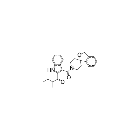 CCC(C)C(=O)c1[nH]c2ccccc2c1C(=O)N1CCC2(CC1)OCc1ccccc12